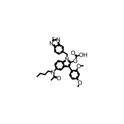 CCCCN(C(C)=O)c1ccc2c(c1)c(-c1ccc(OC)cc1OC)c(OC(=O)O)n2Cc1ccc2nsnc2c1